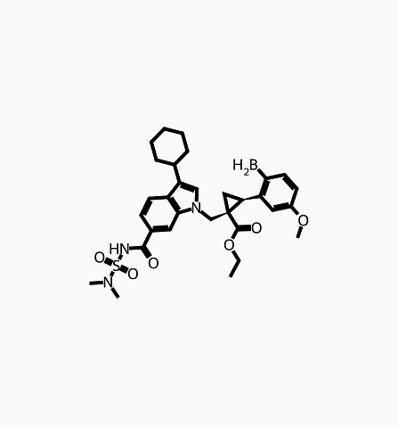 Bc1ccc(OC)cc1[C@@H]1C[C@@]1(Cn1cc(C2CCCCC2)c2ccc(C(=O)NS(=O)(=O)N(C)C)cc21)C(=O)OCC